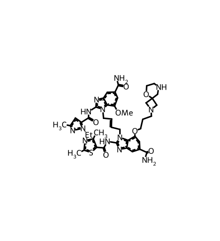 CCn1nc(C)cc1C(=O)Nc1nc2cc(C(N)=O)cc(OC)c2n1C/C=C/Cn1c(NC(=O)c2sc(C)nc2C)nc2cc(C(N)=O)cc(OCCCN3CC4(CNCCO4)C3)c21